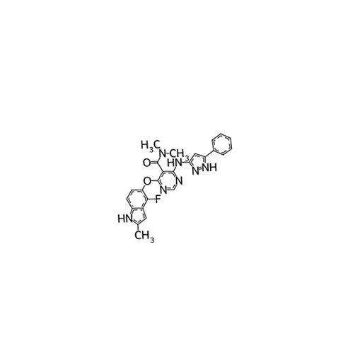 Cc1cc2c(F)c(Oc3ncnc(Nc4cc(-c5ccccc5)[nH]n4)c3C(=O)N(C)C)ccc2[nH]1